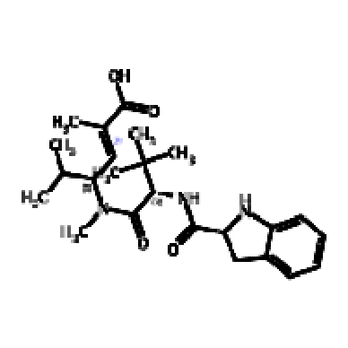 C/C(=C\[C@H](C(C)C)N(C)C(=O)[C@@H](NC(=O)C1Cc2ccccc2N1)C(C)(C)C)C(=O)O